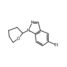 CCc1ccc2c(cnn2C2CCCCO2)c1